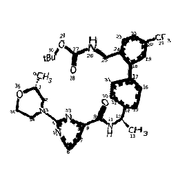 C[C@@H]1CN(c2nccc(C(=O)N[C@H](C)c3ccc(-c4cc(C(F)(F)F)ccc4CNC(=O)OC(C)(C)C)cc3)n2)CCO1